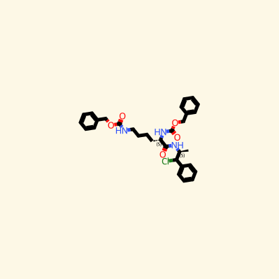 C[C@H](NC(=O)[C@H](CCCCNC(=O)OCc1ccccc1)NC(=O)OCc1ccccc1)C(Cl)c1ccccc1